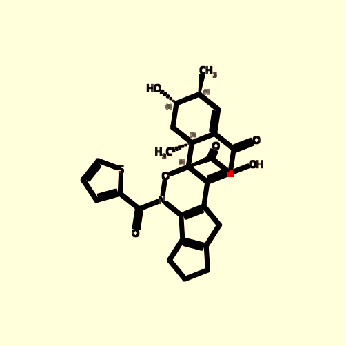 C[C@H]1C=C2C(=O)C=C3C4=C(C5=C(CCC5)C4)N(C(=O)c4cccs4)O[C@]3(C(=O)CO)[C@@]2(C)C[C@@H]1O